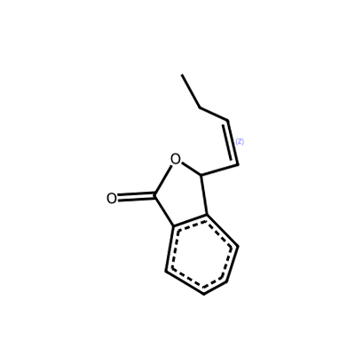 CC/C=C\C1OC(=O)c2ccccc21